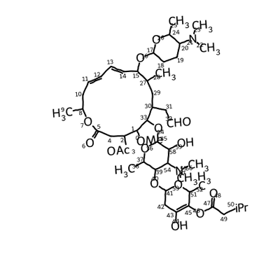 COC1C(OC(C)=O)CC(=O)OC(C)C/C=C/C=C/C(OC2CCC(N(C)C)C(C)O2)C(C)CC(CC=O)C1OC1OC(C)C(OC2CC(O)=C(OC(=O)CC(C)C)C(C)O2)C(N(C)C)C1O